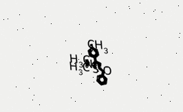 Cc1ccc(-c2cc(C(=O)c3ccccc3)sc2N(C)C)cc1